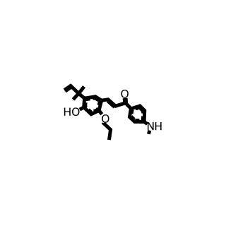 C=CC(C)(C)c1cc(C=CC(=O)c2ccc(NC)cc2)c(OCCC)cc1O